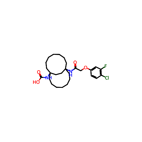 O=C(O)NC12CCCCCCCC(NC(=O)COc3ccc(Cl)c(F)c3)(CCCCCCC1)CC2